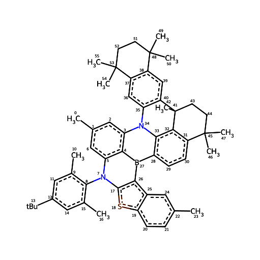 Cc1cc2c3c(c1)N(c1c(C)cc(C(C)(C)C)cc1C)c1sc4ccc(C)cc4c1B3c1ccc3c4c1N2c1cc2c(cc1C4(C)CCC3(C)C)C(C)(C)CCC2(C)C